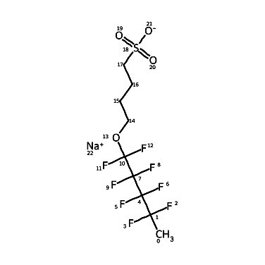 CC(F)(F)C(F)(F)C(F)(F)C(F)(F)OCCCCS(=O)(=O)[O-].[Na+]